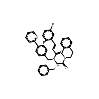 O=C([C@H](Cc1ccccc1)N(Cc1ccc(-c2ccccn2)cc1)C(=O)C=Cc1cc(F)ccc1F)N1CCc2ccccc2C1